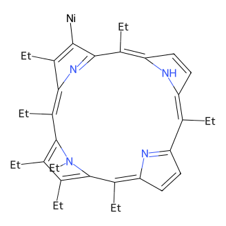 CCC1=[C]([Ni])c2nc1c(CC)c1c(CC)c(CC)c(c(CC)c3nc(c(CC)c4ccc([nH]4)c2CC)C=C3)n1CC